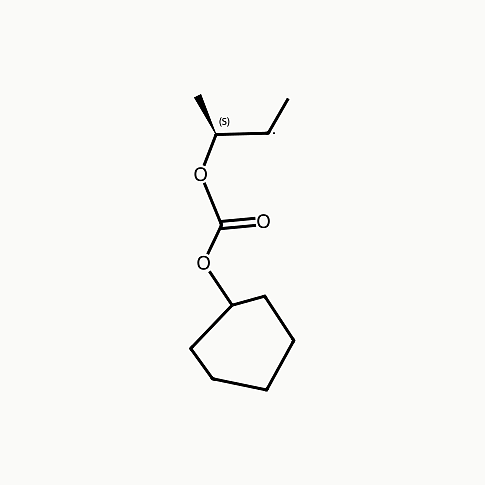 C[CH][C@H](C)OC(=O)OC1CCCCC1